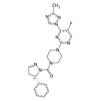 Cc1ncn(-c2nc(N3CCN(C(=O)N4N=CC[C@H]4c4ccccc4)CC3)ncc2F)n1